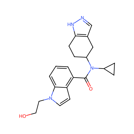 O=C(c1cccc2c1ccn2CCO)N(C1CC1)C1CCc2[nH]ncc2C1